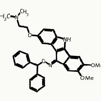 COc1cc2c(cc1OC)-c1[nH]c3ccc(OCCN(C)C)cc3c1/C2=N\OC(c1ccccc1)c1ccccc1